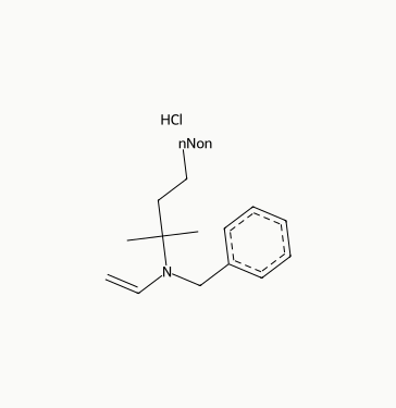 C=CN(Cc1ccccc1)C(C)(C)CCCCCCCCCCC.Cl